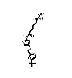 CC(C)(C)c1cnc(CSc2cnc(NC(=O)CCCCC(=O)NO)s2)o1